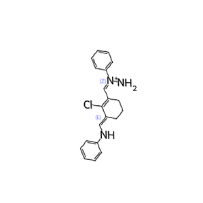 N/[N+](=C\C1=C(Cl)C(=C/Nc2ccccc2)/CCC1)c1ccccc1